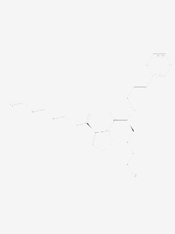 CCOC(=O)[C@H](CCc1ccccc1)N[C@@H](CCCCN)C(=O)N1CCC[C@H]1C(=O)OCCCCO[N+](=O)[O-]